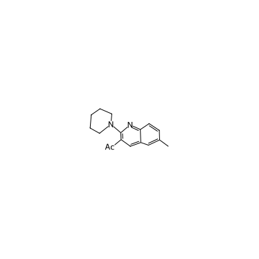 CC(=O)c1cc2cc(C)ccc2nc1N1CCCCC1